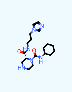 O=C(NCCCn1ccnc1)[C@H]1CNCCN1C(=O)NC1CCCCC1